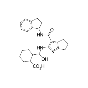 O=C(NC1CCc2ccccc21)c1c(NC(O)C2CCCCC2C(=O)O)sc2c1CCC2